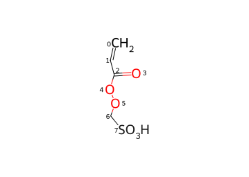 C=CC(=O)OOCS(=O)(=O)O